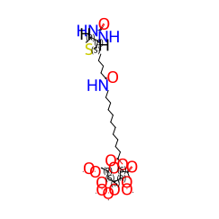 COOC[C@H]1O[C@@](OC(=O)CCCCCCCCCCCNC(=O)CCCC[C@@H]2SC[C@@H]3NC(=O)N[C@@H]32)(C(C)=O)[C@H](OOC)[C@@H](OOC)[C@H]1OOC